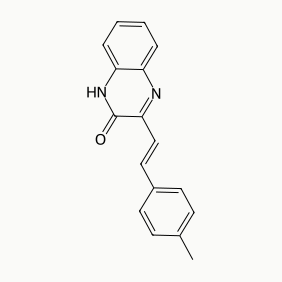 Cc1ccc(/C=C/c2nc3ccccc3[nH]c2=O)cc1